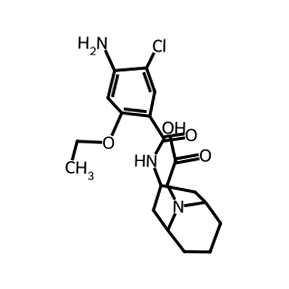 CCOc1cc(N)c(Cl)cc1C(=O)NC1CC2CCCC(C1)N2CC(=O)O